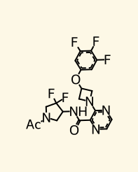 CC(=O)N1CC(NC(=O)c2nccnc2N2CC(Oc3cc(F)c(F)c(F)c3)C2)C(F)(F)C1